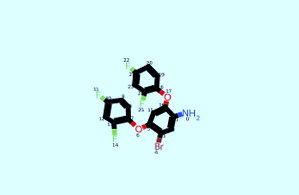 Nc1cc(Br)c(Oc2ccc(F)cc2F)cc1Oc1ccc(F)cc1F